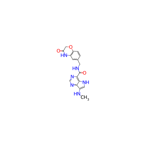 CNc1c[nH]c2c(C(=O)NCc3ccc4c(c3)NC(=O)CO4)ncnc12